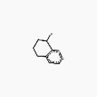 CC(C)C1CCCc2ccnnc21